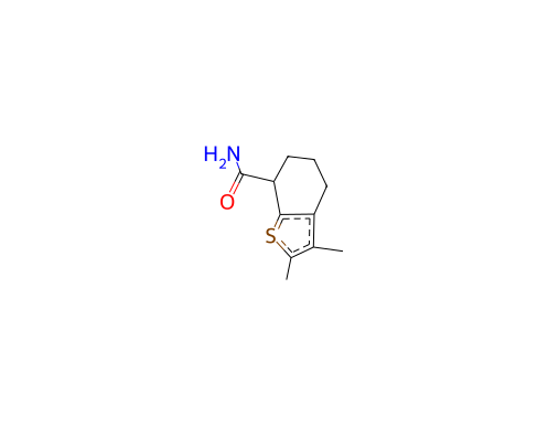 Cc1sc2c(c1C)CCCC2C(N)=O